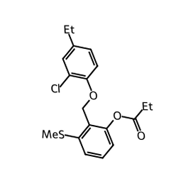 CCC(=O)Oc1cccc(SC)c1COc1ccc(CC)cc1Cl